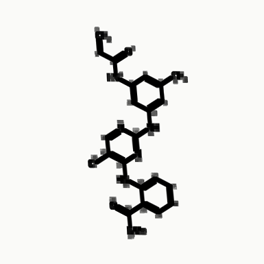 C=CC(=O)Nc1cc(C)cc(Nc2ncc(Cl)c(Nc3ccccc3C(=O)NC)n2)c1